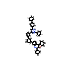 c1ccc(-c2ccc(-c3cc(-c4cccc(-c5cccc(-c6ccc7c(c6)nc(-c6ccccc6)c6oc8ccccc8c67)c5)c4)nc(-c4ccccc4)n3)cc2)cc1